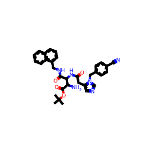 CC(C)(C)OC(=O)C(N)C(NC(=O)Cc1cncn1Cc1ccc(C#N)cc1)C(=O)NCc1cccc2ccccc12